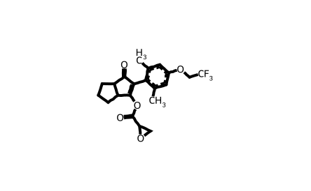 Cc1cc(OCC(F)(F)F)cc(C)c1C1=C(OC(=O)C2CO2)C2CCCC2C1=O